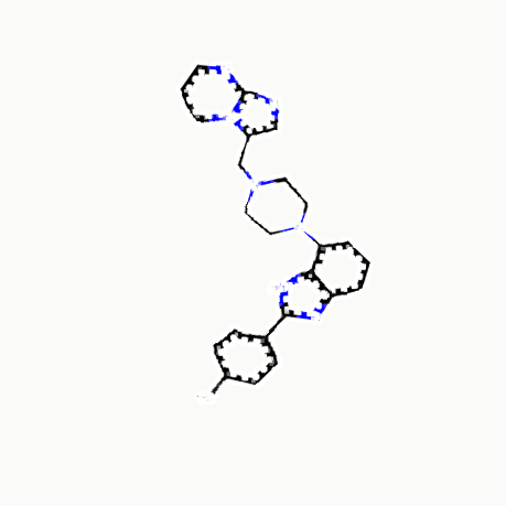 CC(C)(C)c1ccc(-c2nc3cccc(N4CCN(Cc5cnc6ncccn56)CC4)c3[nH]2)cc1